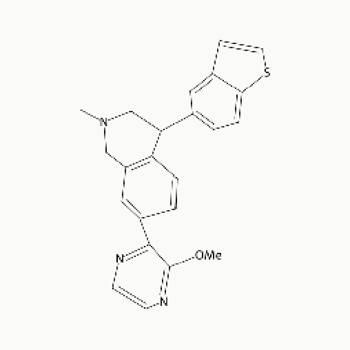 COc1nccnc1-c1ccc2c(c1)CN(C)CC2c1ccc2sccc2c1